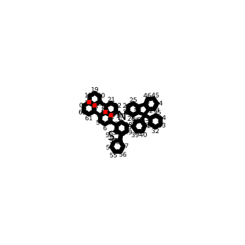 c1ccc(-c2ccc(-c3c(N(c4ccc(-c5ccccc5)cc4)c4ccc5c(c4)C(c4ccccc4)(c4ccccc4)c4ccccc4-5)ccc4c3sc3ccccc34)cc2)cc1